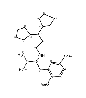 COc1ccc(OC)c(CC(NCCC(C2CCCC2)C2CCCC2)C(C)O)c1